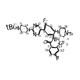 C[C@@H]1CN(c2cc(F)c(-c3cnc(N4CCN(C(C)(C)C)CC4)nc3)cc2NC(=O)c2ccc(F)cc2C(F)(F)F)CCN1C